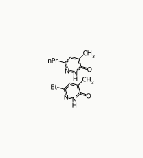 CCCc1cc(C)c(=O)[nH]n1.CCc1cc(C)c(=O)[nH]n1